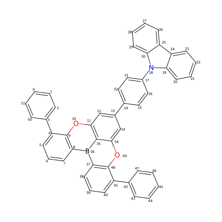 c1ccc(-c2cccc3c2Oc2cc(-c4ccc(-n5c6ccccc6c6ccccc65)cc4)cc4c2B3c2cccc(-c3ccccc3)c2O4)cc1